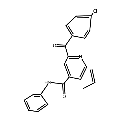 C=CC.O=C(Nc1ccccc1)c1ccnc(C(=O)c2ccc(Cl)cc2)c1